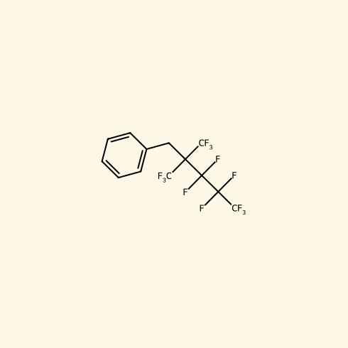 FC(F)(F)C(F)(F)C(F)(F)C(Cc1ccccc1)(C(F)(F)F)C(F)(F)F